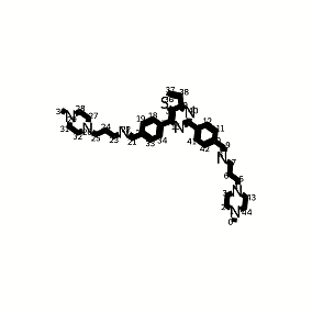 CN1CCN(CCCN=Cc2ccc(-c3nc(-c4ccc(C=NCCCN5CCN(C)CC5)cc4)c4sccc4n3)cc2)CC1